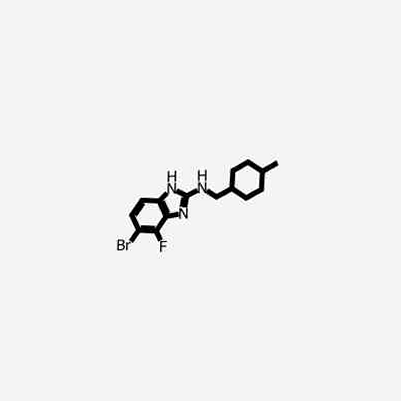 CC1CCC(CNc2nc3c(F)c(Br)ccc3[nH]2)CC1